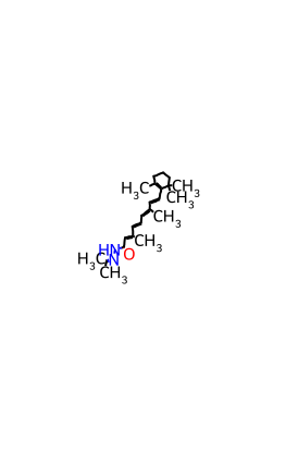 CC(C)=NNC(=O)/C=C(C)/C=C/C=C(C)/C=C/C1=C(C)CCCC1(C)C